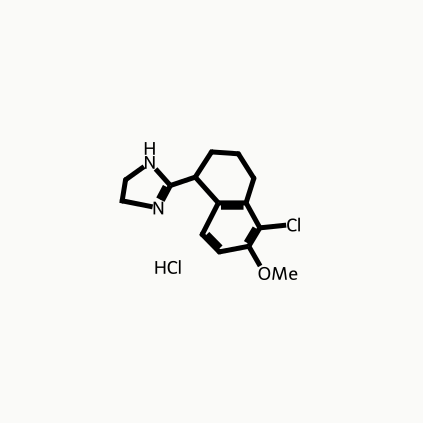 COc1ccc2c(c1Cl)CCCC2C1=NCCN1.Cl